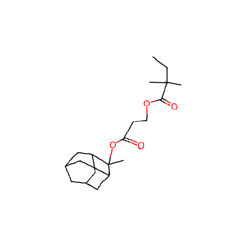 CCC(C)(C)C(=O)OCCC(=O)OC1(C)C2CC3CC(C2)CC1C3